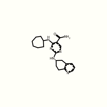 NC(=O)c1cnc(N[C@H]2CCc3ncccc3C2)nc1NC1CCCCCC1